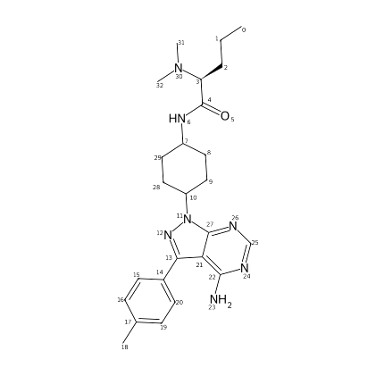 CCC[C@@H](C(=O)NC1CCC(n2nc(-c3ccc(C)cc3)c3c(N)ncnc32)CC1)N(C)C